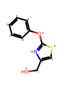 OCc1csc(Oc2ccccc2)n1